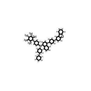 [2H]c1c([2H])c([2H])c(-c2ccc(N(c3ccc(-c4ccccc4)cc3)c3ccc(-c4ccc(-c5ccc6oc7ccccc7c6c5)cc4)c4ccccc34)cc2)c([2H])c1[2H]